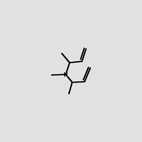 C=CC(C)N(C)C(C)C=C